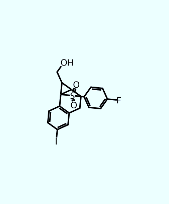 O=S(=O)(c1ccc(F)cc1)C12c3ccc(I)cc3CCC1C2CO